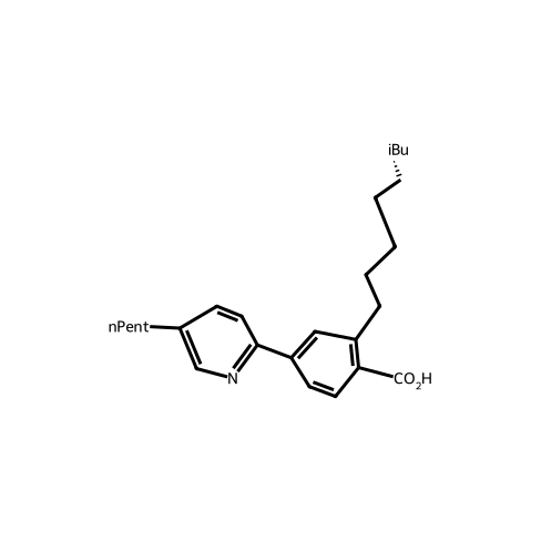 CCCCCc1ccc(-c2ccc(C(=O)O)c(CCCCC[C@@H](C)CC)c2)nc1